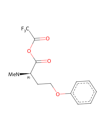 CN[C@H](CCOc1ccccc1)C(=O)OC(=O)C(F)(F)F